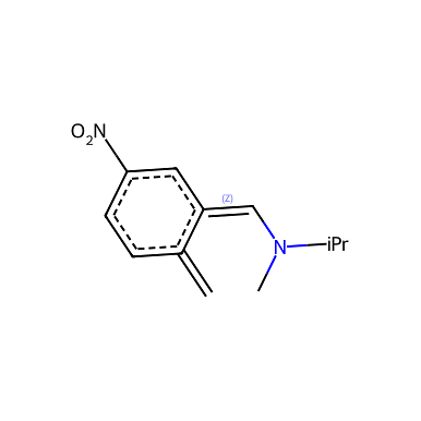 C=c1ccc([N+](=O)[O-])c/c1=C/N(C)C(C)C